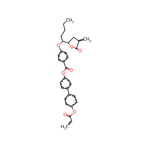 C=CC(=O)Oc1ccc(-c2ccc(OC(=O)c3ccc(OC(CCCC)C4CC(=C)C(=O)O4)cc3)cc2)cc1